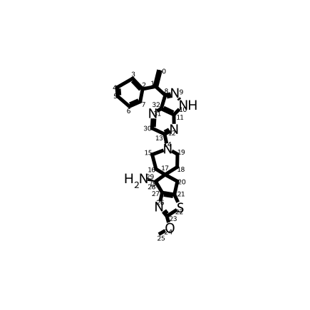 C=C(c1ccccc1)c1n[nH]c2nc(N3CCC4(CC3)Cc3sc(OC)nc3[C@H]4N)cnc12